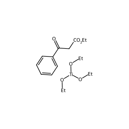 CCOC(=O)CC(=O)c1ccccc1.CC[O][Ti]([O]CC)[O]CC